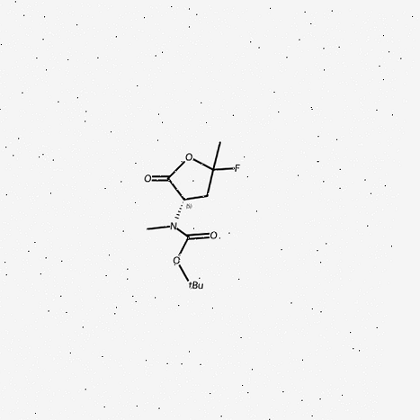 CN(C(=O)OC(C)(C)C)[C@H]1CC(C)(F)OC1=O